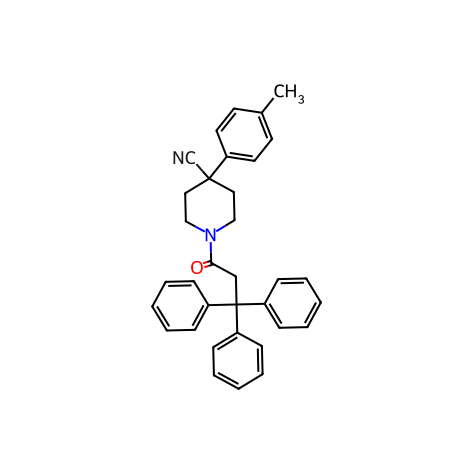 Cc1ccc(C2(C#N)CCN(C(=O)CC(c3ccccc3)(c3ccccc3)c3ccccc3)CC2)cc1